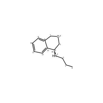 CCCN[C@@H]1COCc2ccccc21